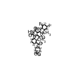 Cc1c(=O)n(C)c(Nc2ccc(I)cc2F)c2c(=O)[nH]c(=O)n(-c3cccc(C(=O)N4CCS(=O)(=O)CC4)c3)c12